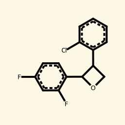 Fc1ccc(C2OCC2c2ccccc2Cl)c(F)c1